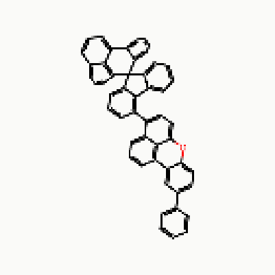 c1ccc(-c2ccc3c(c2)-c2cccc4c(-c5cccc6c5-c5ccccc5C65c6ccccc6-c6cccc7cccc5c67)ccc(c24)O3)cc1